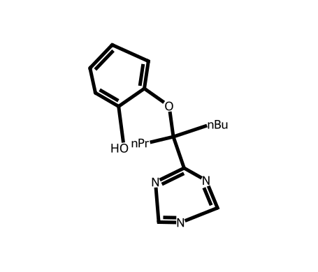 CCCCC(CCC)(Oc1ccccc1O)c1ncncn1